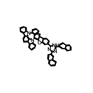 c1ccc(-n2c3ccccc3c3ccc4c5ccccc5n(-c5cccc6c5oc5cc(C7N=C(c8ccc9ccccc9c8)N=C(c8ccc9ccccc9c8)N7)ccc56)c4c32)cc1